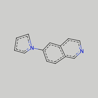 c1ccn(-c2ccc3cnccc3c2)c1